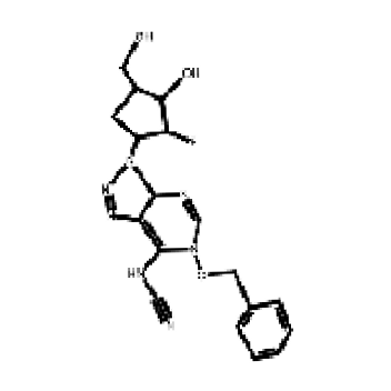 N#CNC1=C2N=NN(C3CC(CO)C(O)C3F)C2N=CN1OCc1ccccc1